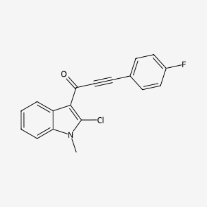 Cn1c(Cl)c(C(=O)C#Cc2ccc(F)cc2)c2ccccc21